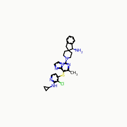 Cc1nc(N2CCC3(CC2)Cc2ccccc2[C@H]3N)n2ccnc2c1Sc1ccnc(NC2CC2)c1Cl